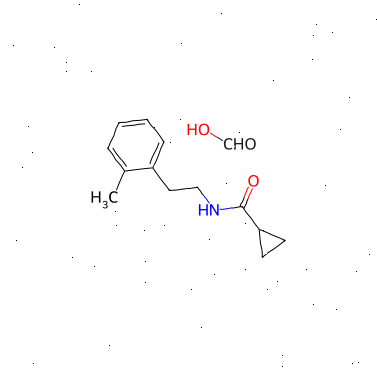 Cc1ccccc1CCNC(=O)C1CC1.O=CO